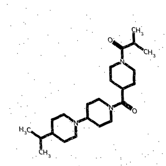 CC(C)C(=O)N1CCC(C(=O)N2CCC(N3CCC(C(C)C)CC3)CC2)CC1